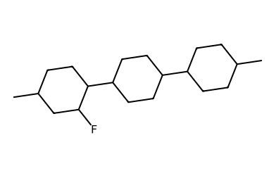 CC1CCC(C2CCC(C3CCC(C)CC3F)CC2)CC1